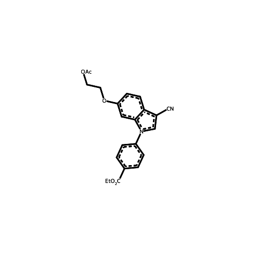 CCOC(=O)c1ccc(-n2cc(C#N)c3ccc(OCCOC(C)=O)cc32)cc1